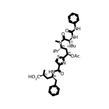 CC[C@H](C)[C@H](NC(=O)Nc1ccccc1)C(=O)N(C)[C@H](C[C@@H](OC(C)=O)c1nc(C(=O)N[C@@H](Cc2ccccc2)C[C@H](C)C(=O)O)cs1)C(C)C